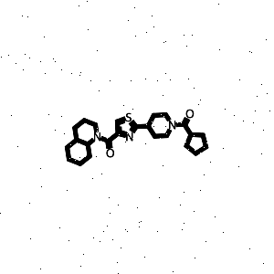 O=C(C1CCCC1)N1CCC(c2nc(C(=O)N3CCCC4CCCCC43)cs2)CC1